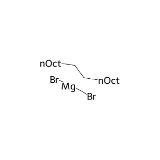 [Br][Mg][Br].[CH2]CCCCCCCCCCCCCCCCC